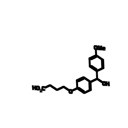 COc1ccc(C(O)c2ccc(OCCCC(=O)O)cc2)cc1